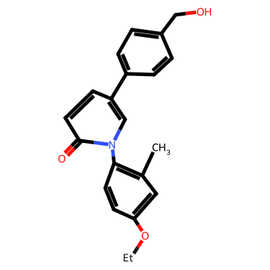 CCOc1ccc(-n2cc(-c3ccc(CO)cc3)ccc2=O)c(C)c1